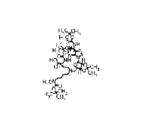 CN(CCCCN(CC[C@H](NC(=O)OC(C)(C)C)C(=O)O)C[C@H]1O[C@@H](n2cnc3c(NC(=O)OC(C)(C)C)ncnc32)[C@@H]2OC(C)(C)O[C@@H]21)C(=O)OC(C)(C)C